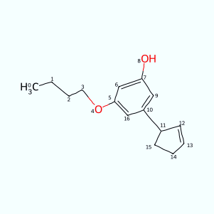 CCCCOc1cc(O)cc(C2C=CCC2)c1